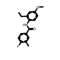 CCc1cc(OC)ccc1NC(=O)c1ccc(F)c(C)c1